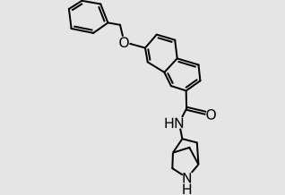 O=C(NC1CC2CC1CN2)c1ccc2ccc(OCc3ccccc3)cc2c1